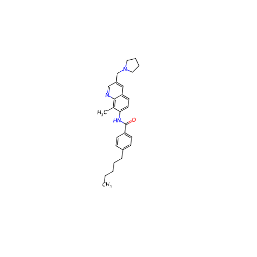 CCCCCc1ccc(C(=O)Nc2ccc3cc(CN4CCCC4)cnc3c2C)cc1